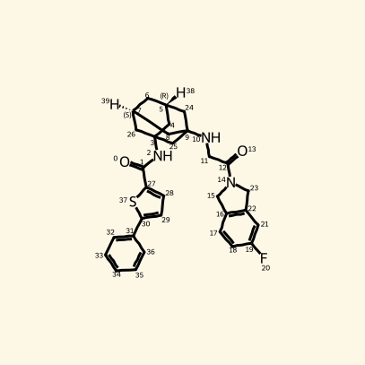 O=C(NC12C[C@@H]3C[C@@H](CC(NCC(=O)N4Cc5ccc(F)cc5C4)(C3)C1)C2)c1ccc(-c2ccccc2)s1